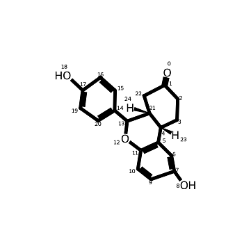 O=C1CC[C@@H]2c3cc(O)ccc3OC(c3ccc(O)cc3)[C@@H]2C1